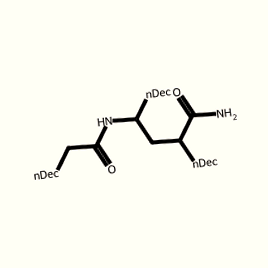 CCCCCCCCCCCC(=O)NC(CCCCCCCCCC)CC(CCCCCCCCCC)C(N)=O